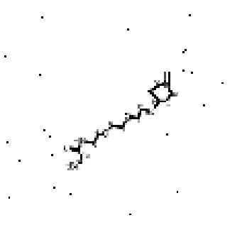 CC(C)(C)OC(=O)NCCOCCOCCOC1CCNCC1